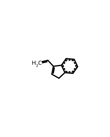 C=CC1=CCc2ccccc21